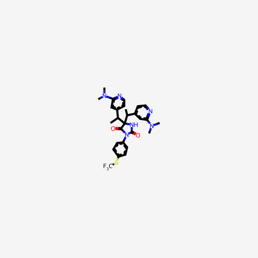 CC(c1ccnc(N(C)C)c1)C1(C(C)c2ccnc(N(C)C)c2)NC(=O)N(c2ccc(SC(F)(F)F)cc2)C1=O